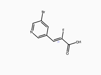 O=C(O)/C(F)=C/c1cncc(Br)c1